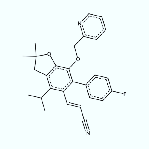 CC(C)c1c(/C=C/C#N)c(-c2ccc(F)cc2)c(OCc2ccccn2)c2c1CC(C)(C)O2